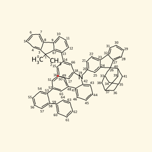 CC1(C)c2ccccc2-c2cccc(-c3cccc(N(c4ccc5c(c4)C4(c6ccccc6-5)C5CC6CC(C5)CC4C6)c4ccccc4-c4cccc(-c5ccccc5-c5ccccc5)c4)c3)c21